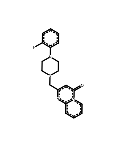 O=c1cc(CN2CCN(c3ccccc3F)CC2)nc2ccccn12